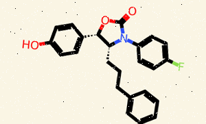 O=C1O[C@@H](c2ccc(O)cc2)[C@@H](CCCc2ccccc2)N1c1ccc(F)cc1